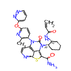 C=CC(=O)N[C@H]1CCCC[C@H]1N1C(=O)N(c2ccc(Oc3cccnn3)nc2C)c2ccnc3sc(C(N)=O)c1c23